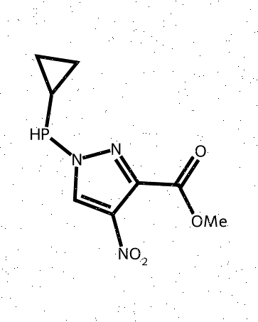 COC(=O)c1nn(PC2CC2)cc1[N+](=O)[O-]